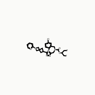 O=C(OC(CF)CF)N1Cc2cc(Cl)ccc2-n2c(nnc2C2CC3(C2)CN(c2ccccn2)C3)C1